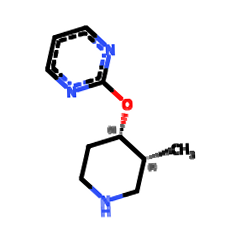 C[C@@H]1CNCC[C@@H]1Oc1ncccn1